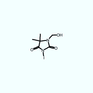 CC1(C)C(=O)N(I)C(=O)N1CO